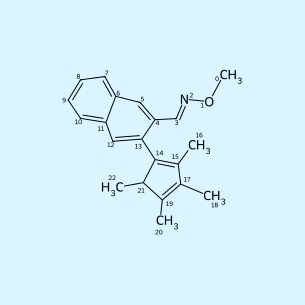 CON=Cc1cc2ccccc2cc1C1=C(C)C(C)=C(C)C1C